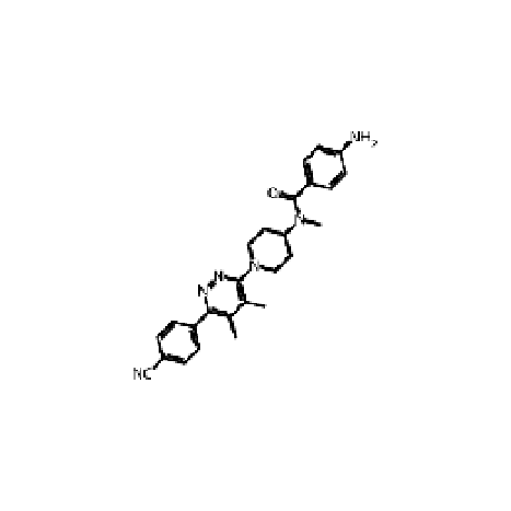 Cc1c(-c2ccc(C#N)cc2)nnc(N2CCC(N(C)C(=O)c3ccc(N)cc3)CC2)c1C